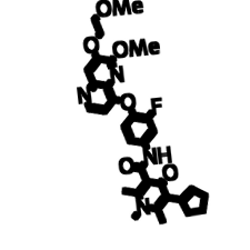 COCCOc1cc2nccc(Oc3ccc(NC(=O)c4c(C)n(C)c(C)c(C5=CCCC5)c4=O)cc3F)c2nc1OC